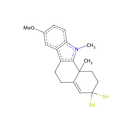 COc1ccc2c(c1)c1c(n2C)C2(C)CCC(S)(S)C=C2CC1